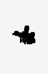 Cc1cccc(/C=N/Nc2nc3c(c(N4CCOCC4)n2)CN(C(=O)C(C)NC(=O)O)C3)c1